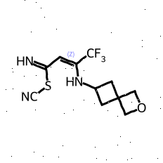 N#CSC(=N)/C=C(\NC1CC2(COC2)C1)C(F)(F)F